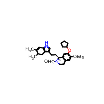 COc1cc2c(cc1OC1CCCC1)[C@H](CCc1c[nH]c3c1CC(C)C(C)=C3)N(C=O)CC2